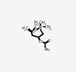 C=C(C)CC(C[N+](C)(C)C)OC(=O)C(C)(C)C